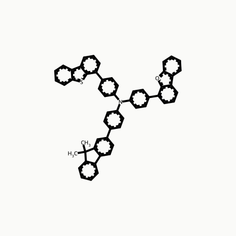 CC1(C)c2ccccc2-c2ccc(-c3ccc(N(c4ccc(-c5cccc6c5oc5ccccc56)cc4)c4ccc(-c5cccc6c5sc5ccccc56)cc4)cc3)cc21